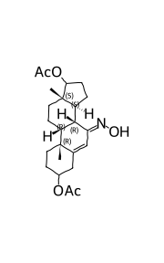 CC(=O)OC1CC[C@@]2(C)C(=CC(=NO)[C@@H]3[C@H]2CC[C@]2(C)C(OC(C)=O)CC[C@@H]32)C1